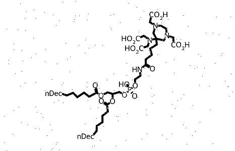 CCCCCCCCCCCCCCCC(=O)OCC(COP(=O)(O)OCCNC(=O)CCCCC1(N(CC(=O)O)CC(=O)O)CN(CC(=O)O)CCN(CC(=O)O)C1)OC(=O)CCCCCCCCCCCCCCC